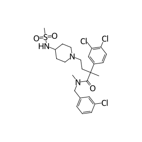 CN(Cc1cccc(Cl)c1)C(=O)C(C)(CCN1CCC(NS(C)(=O)=O)CC1)c1ccc(Cl)c(Cl)c1